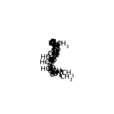 CCN(CC)COP(=O)(O)OP(=O)(O)OC[C@H]1O[C@@H](n2ccc(=O)n(Cc3nn(C)c4ccccc34)c2=O)[C@@H](O)C1O